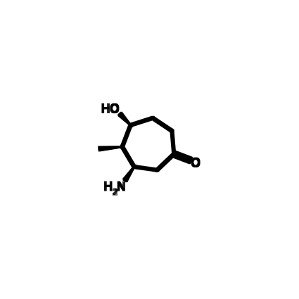 C[C@@H]1[C@H](N)CC(=O)CC[C@@H]1O